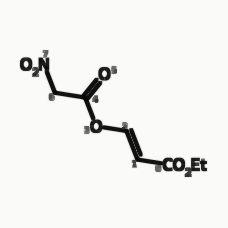 CCOC(=O)C=COC(=O)C[N+](=O)[O-]